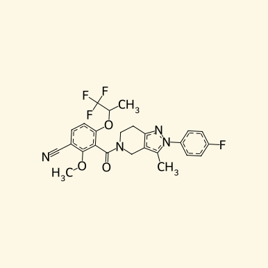 COc1c(C#N)ccc(OC(C)C(F)(F)F)c1C(=O)N1CCc2nn(-c3ccc(F)cc3)c(C)c2C1